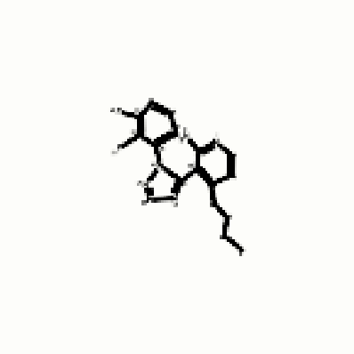 CCCCc1ccnc(N)c1-c1nnnn1-c1cccc(F)c1F